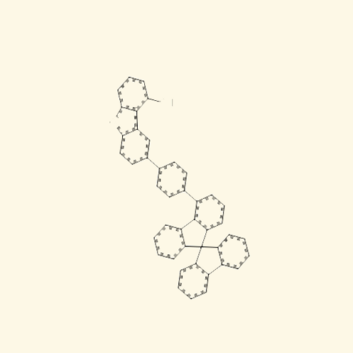 Cc1cccc2oc3ccc(-c4ccc(-c5cccc6c5-c5ccccc5C65c6ccccc6-c6ccccc65)cc4)cc3c12